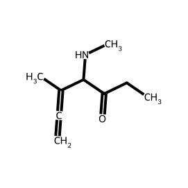 C=C=C(C)C(NC)C(=O)CC